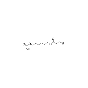 O=C(S)OCCCCCCOC(=O)CCS